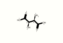 N[C@@H](C(=O)O)[C@@H](O)C(=O)O